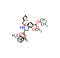 COc1c(CC(NC(=O)Cc2cccs2)B2OC3CC4CC(C4(C)C)C3(C)O2)cccc1C(=O)OC(C)C